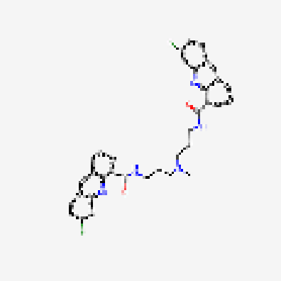 CN(CCCNC(=O)c1cccc2cc3ccc(F)cc3nc12)CCCNC(=O)c1cccc2cc3ccc(F)cc3nc12